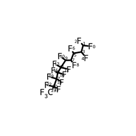 FC(F)C(F)C(F)C(F)C(F)C(F)(F)C(F)(F)C(F)(F)C(F)(F)C(F)(F)F